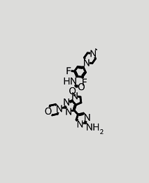 CN1CCN(c2cc(F)c(NC(=O)ON3CCc4c(-c5cnc(N)nc5)nc(N5CCOCC5)nc43)c(F)c2)CC1